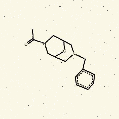 CC(=O)N1CC2CN(Cc3ccccc3)CC(C1)O2